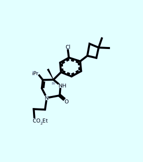 CCOC(=O)CCN1C=C(C(C)C)[C@](C)(c2ccc(C3CC(C)(C)C3)c(Cl)c2)NC1=O